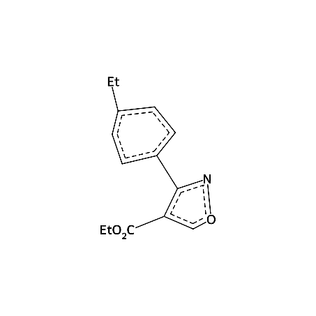 CCOC(=O)c1conc1-c1ccc(CC)cc1